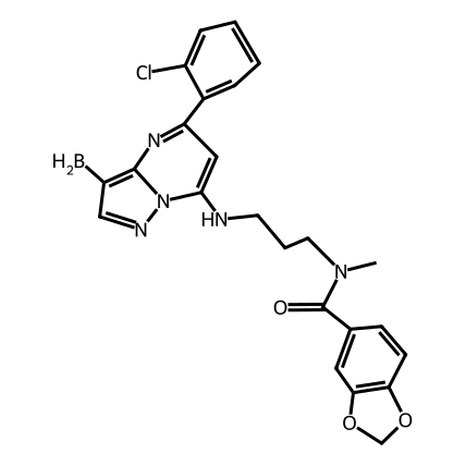 Bc1cnn2c(NCCCN(C)C(=O)c3ccc4c(c3)OCO4)cc(-c3ccccc3Cl)nc12